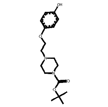 CC(C)(C)OC(=O)N1CCN(CCOc2ccc(O)cc2)CC1